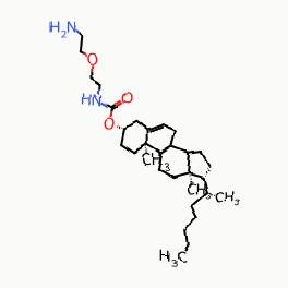 CCCCC[C@@H](C)[C@H]1CCC2C3CC=C4C[C@@H](OC(=O)NCCOCCN)CC[C@]4(C)C3CC[C@@]21C